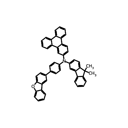 CC1(C)c2ccccc2-c2cc(N(c3ccc(-c4ccc5oc6ccccc6c5c4)cc3)c3ccc4c5ccccc5c5ccccc5c4c3)ccc21